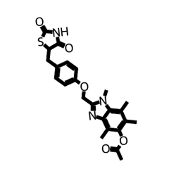 CC(=O)Oc1c(C)c(C)c2c(nc(COc3ccc(CC4SC(=O)NC4=O)cc3)n2C)c1C